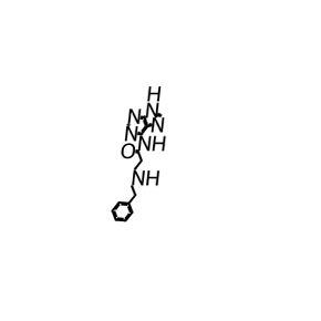 O=C(CCNCCc1ccccc1)Nc1ncnc2[nH]cnc12